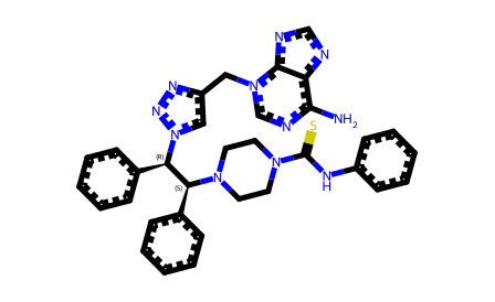 Nc1ncn(Cc2cn([C@H](c3ccccc3)[C@H](c3ccccc3)N3CCN(C(=S)Nc4ccccc4)CC3)nn2)c2ncnc1-2